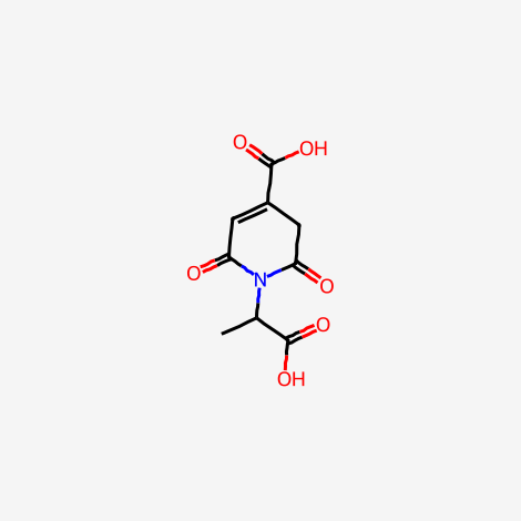 CC(C(=O)O)N1C(=O)C=C(C(=O)O)CC1=O